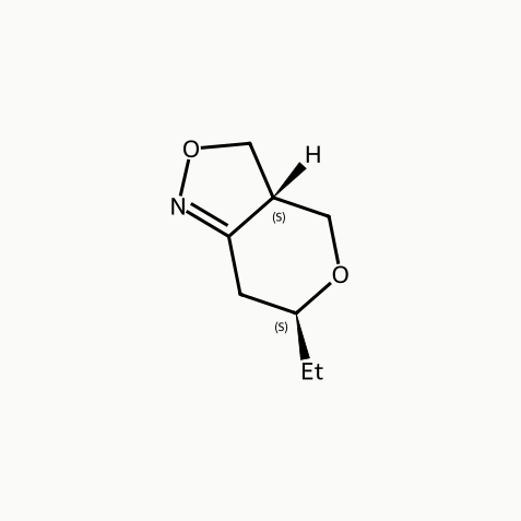 CC[C@H]1CC2=NOC[C@@H]2CO1